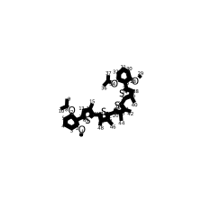 COc1cccc(OC(C)C)c1-c1cc(C)c(-c2sc(-c3sc(-c4sc(-c5c(OC)cccc5OC(C)C)cc4C)c(C)c3C)c(C)c2C)s1